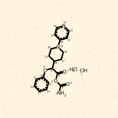 Cl.Cl.NC(=O)OC(=O)C(Oc1ccccc1)C1CCN(c2ccncc2)CC1